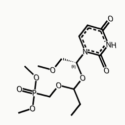 CCC(OCP(=O)(OC)OC)O[C@H](COC)n1ccc(=O)[nH]c1=O